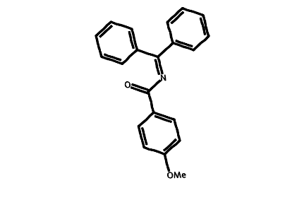 COc1ccc(C(=O)N=C(c2ccccc2)c2ccccc2)cc1